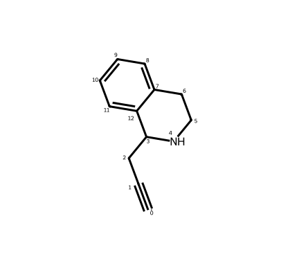 [C]#CCC1NCCc2ccccc21